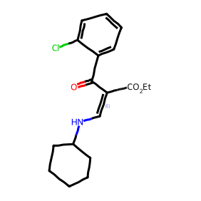 CCOC(=O)/C(=C/NC1CCCCC1)C(=O)c1ccccc1Cl